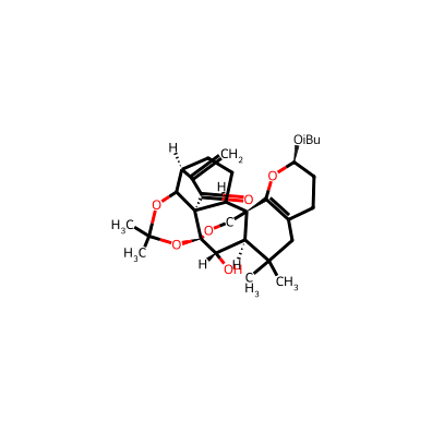 C=C1C(=O)[C@@]23C4OC(C)(C)O[C@]25OC[C@]2(C6=C(CC[C@H](OCC(C)C)O6)CC(C)(C)[C@H]2[C@@H]5O)[C@@H]3CC[C@@H]14